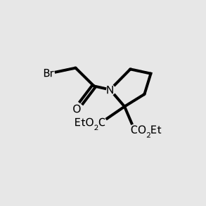 CCOC(=O)C1(C(=O)OCC)CCCN1C(=O)CBr